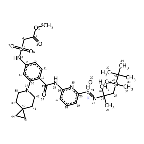 COC(=O)CS(=O)(=O)Nc1ccc(C(=O)Nc2cccc(/[SH](=O)=N/C(C)(C)C[Si](C)(C)C(C)(C)C)n2)c(N2CCC3(CC2)CC3)c1